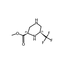 COC(=O)[C@H]1CNC[C@@H](C(F)(F)F)N1